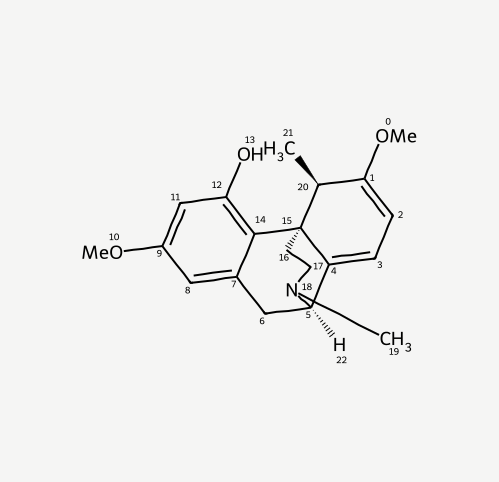 COC1=CC=C2[C@H]3Cc4cc(OC)cc(O)c4[C@@]2(CCN3C)[C@H]1C